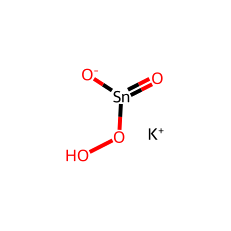 [K+].[O]=[Sn]([O-])[O]O